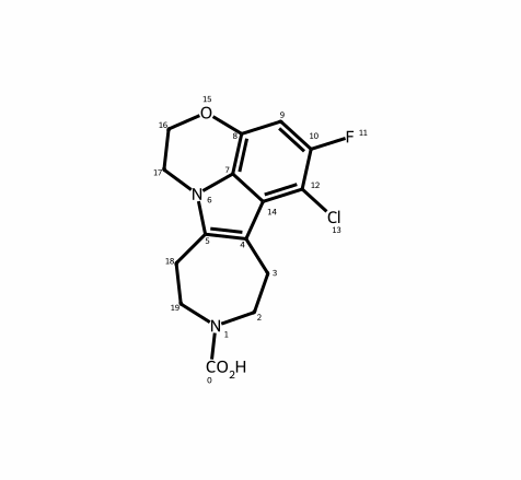 O=C(O)N1CCc2c(n3c4c(cc(F)c(Cl)c24)OCC3)CC1